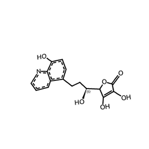 O=C1OC([C@@H](O)CCc2ccc(O)c3ncccc23)C(O)=C1O